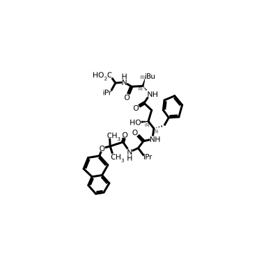 CC[C@H](C)[C@H](NC(=O)C[C@H](O)[C@H](Cc1ccccc1)NC(=O)C(NC(=O)C(C)(C)Oc1ccc2ccccc2c1)C(C)C)C(=O)NC(C(=O)O)C(C)C